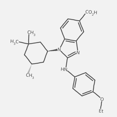 CCOc1ccc(Nc2nc3cc(C(=O)O)ccc3n2[C@H]2C[C@H](C)CC(C)(C)C2)cc1